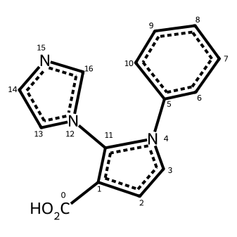 O=C(O)c1ccn(-c2ccccc2)c1-n1ccnc1